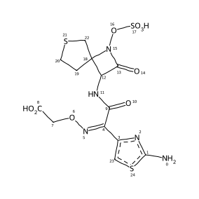 Nc1nc(C(=NOCC(=O)O)C(=O)NC2C(=O)N(OS(=O)(=O)O)C23CCSC3)cs1